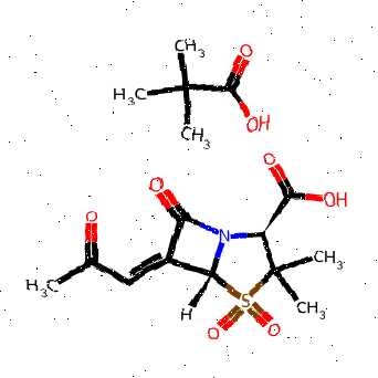 CC(=O)C=C1C(=O)N2[C@@H](C(=O)O)C(C)(C)S(=O)(=O)[C@H]12.CC(C)(C)C(=O)O